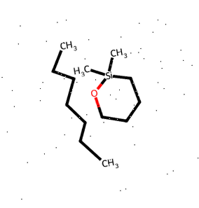 CCCCCCC.C[Si]1(C)CCCCO1